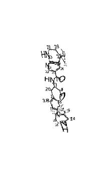 O=C(N[C@H]1COc2cc(N3C4CCC3CNC4)ccc2C1)c1cnc2c(c1)C1(CCN2)CC1